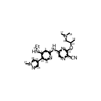 CCNc1cc(Nc2cnc(C#N)c(OC(C)CN(C)C)n2)ncc1-c1cnn(C)c1